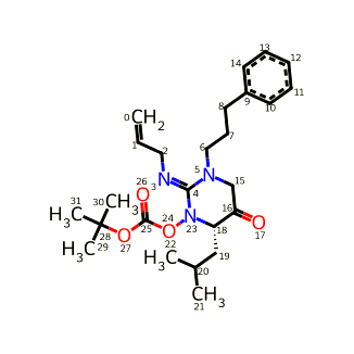 C=CCN=C1N(CCCc2ccccc2)CC(=O)[C@H](CC(C)C)N1OC(=O)OC(C)(C)C